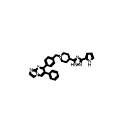 c1ccc(-c2cn3ccnc3nc2-c2ccc(CN3CCC(c4nc(-c5ccc[nH]5)n[nH]4)CC3)cc2)cc1